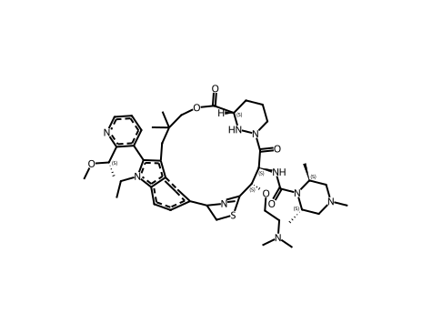 CCn1c(-c2cccnc2[C@H](C)OC)c2c3cc(ccc31)C1CSC(=N1)[C@@H](OCCN(C)C)[C@H](NC(=O)N1[C@@H](C)CN(C)C[C@@H]1C)C(=O)N1CCC[C@H](N1)C(=O)OCC(C)(C)C2